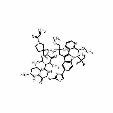 C=CC(=O)N1CCC2(C1)CN(C(=O)N(C)[C@H](C(=O)N[C@@H](Cc1nc(-c3ccc4c(c3)c(CC(C)(C)COC)c(-c3cccnc3[C@H](C)OC)n4CC(F)(F)F)cs1)C(=O)N1CCC[C@@H](O)N1)C(C)C)C2